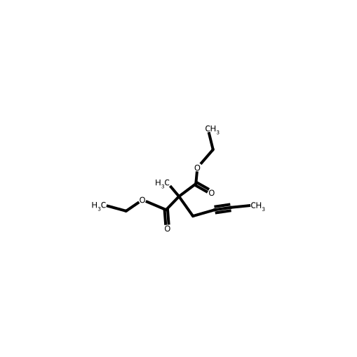 CC#CCC(C)(C(=O)OCC)C(=O)OCC